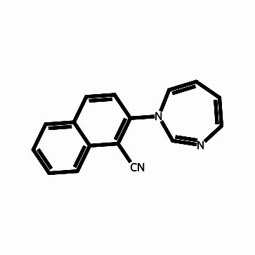 N#Cc1c(N2C=CC=CN=C2)ccc2ccccc12